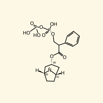 CN1[C@@H]2CC[C@H]1C[C@@H](OC(=O)C(COP(=O)(O)OP(=O)(O)O)c1ccccc1)C2